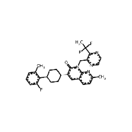 Cc1ccc2cc([C@H]3CC[C@H](c4c(C)cccc4F)CC3)c(=O)n(Cc3nccnc3C(C)(F)F)c2n1